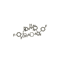 Nc1nccc(-c2c(-c3ccc(F)cc3)ncn2C2CCN(CCC(O)(Cn3cncn3)c3ccc(F)cc3F)CC2)n1